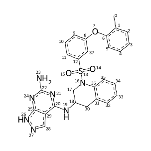 Cc1ccccc1Oc1cccc(S(=O)(=O)N2CC(Nc3nc(N)nc4[nH]ncc34)Cc3ccccc32)c1